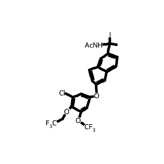 CC(=O)NC(C)(I)c1ccc2cc(Oc3cc(Cl)c(OCC(F)(F)F)c(OC(F)(F)F)c3)ccc2c1